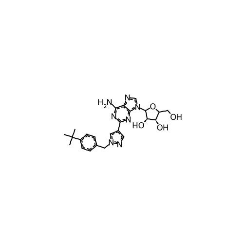 CC(C)(C)c1ccc(Cn2cc(-c3nc(N)c4ncn(C5OC(CO)[C@@H](O)[C@H]5O)c4n3)cn2)cc1